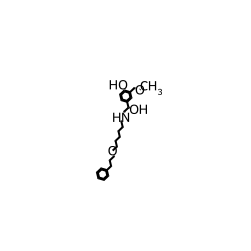 COCc1cc(C(O)CNCCCCCCOCCCc2ccccc2)ccc1O